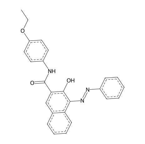 CCOc1ccc(NC(=O)c2cc3ccccc3c(/N=N/c3ccccc3)c2O)cc1